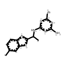 Cc1ccc2nc(C(C)Nc3nc(N)nc(C(C)C)n3)sc2c1